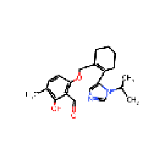 Cc1ccc(OCC2=C(c3cncn3C(C)C)CCCC2)c(C=O)c1O